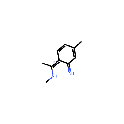 CN/C(C)=C1/C=CC(C)=CC1=N